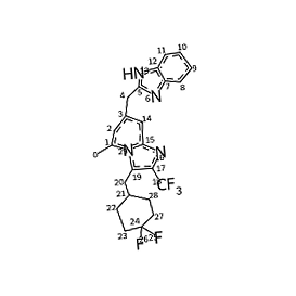 Cc1cc(Cc2nc3ccccc3[nH]2)cc2nc(C(F)(F)F)c(CC3CCC(F)(F)CC3)n12